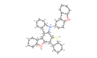 c1ccc2c(c1)oc1ccc(-n3c4ccccc4c4c5c6ccccc6oc5c5c6ccccc6sc5c43)cc12